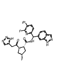 CC(C)c1ccc(C(NC(=O)[C@@H]2C[C@@H](F)CN2C(=O)Cc2cnn[nH]2)c2ccc3cn[nH]c3c2)nc1F